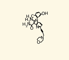 Cc1ccc(O)cc1-n1c(N)c(C(N)=O)c2nc(C#CCN3CCOCC3)ccc21